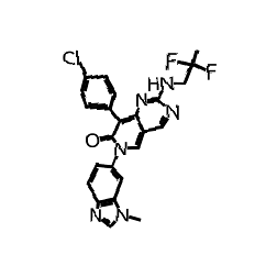 Cn1cnc2ccc(-n3cc4cnc(NCC(C)(F)F)nc4c(-c4ccc(Cl)cc4)c3=O)cc21